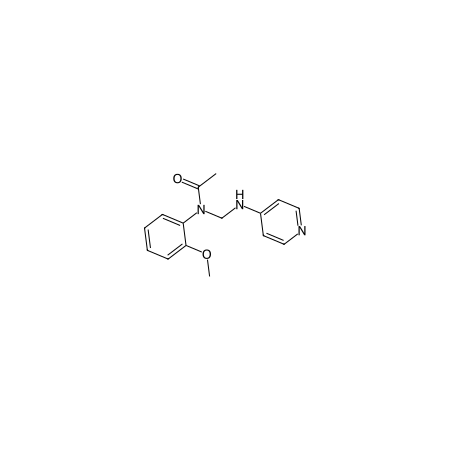 COc1ccccc1N(CNc1ccncc1)C(C)=O